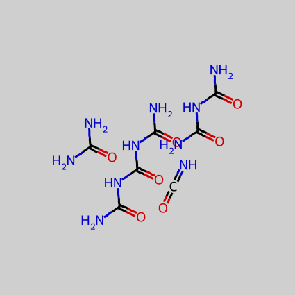 N=C=O.NC(=O)NC(=O)NC(N)=O.NC(=O)NC(N)=O.NC(N)=O